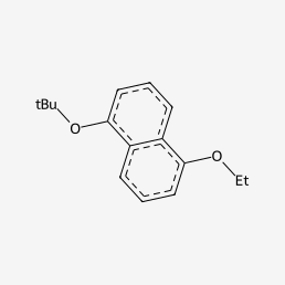 CCOc1cccc2c(OC(C)(C)C)cccc12